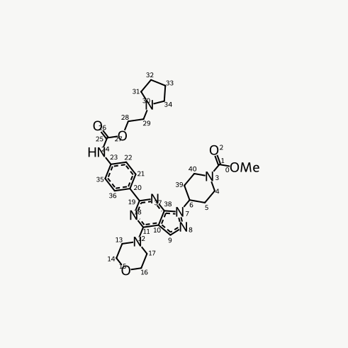 COC(=O)N1CCC(n2ncc3c(N4CCOCC4)nc(-c4ccc(NC(=O)OCCN5CCCC5)cc4)nc32)CC1